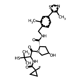 Cc1cc(-c2scnc2C)ccc1CNC(=O)[C@@H]1C[C@@H](O)CN1C(=O)C(NC(=O)C1(F)CC1)C(C)(C)S